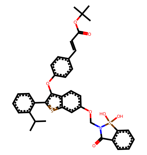 CC(C)c1ccccc1-c1sc2cc(OCN3C(=O)c4ccccc4S3(O)O)ccc2c1Oc1ccc(/C=C/C(=O)OC(C)(C)C)cc1